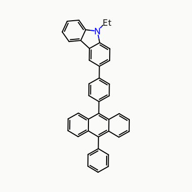 CCn1c2ccccc2c2cc(-c3ccc(-c4c5ccccc5c(-c5ccccc5)c5ccccc45)cc3)ccc21